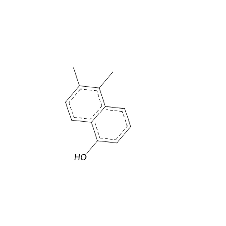 Cc1ccc2c(O)cccc2c1C